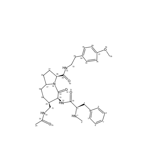 CN[C@H](Cc1ccccc1)C(=O)N[C@@H]1C(=O)N2C(CC[C@@H]1CNC(C)=O)CC[C@H]2C(=O)NCCc1ccc(OC)cc1